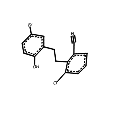 N#Cc1cccc(Cl)c1CCc1cc(Br)ccc1O